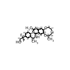 Cc1nc(N[C@H](C)c2cccc(C(F)(F)CO)c2)c2cc3c(cc2n1)OCCOC[C@H](C)O3